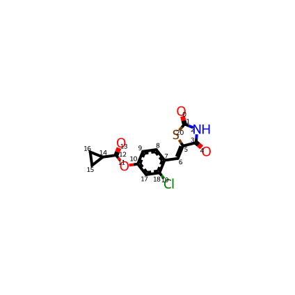 O=C1NC(=O)/C(=C/c2ccc(OC(=O)C3CC3)cc2Cl)S1